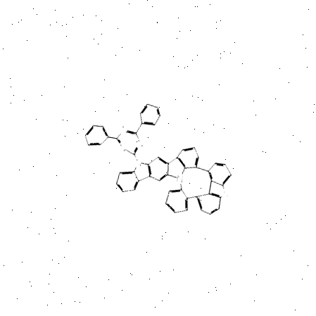 c1ccc(-c2nc(-c3ccccc3)nc(-n3c4ccccc4c4cc5c(cc43)c3cccc4c6cccc7sc8cccc(c9ccccc9n5c43)c8c76)n2)cc1